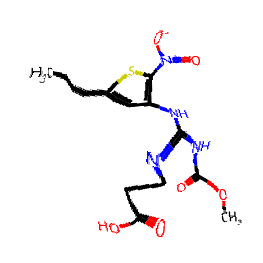 CCCc1cc(NC(=NCCC(=O)O)NC(=O)OC)c([N+](=O)[O-])s1